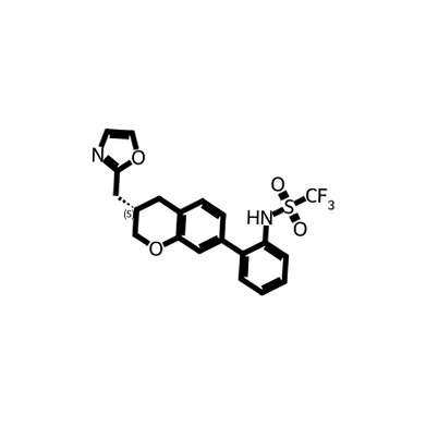 O=S(=O)(Nc1ccccc1-c1ccc2c(c1)OC[C@H](Cc1ncco1)C2)C(F)(F)F